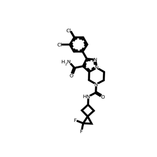 NC(=O)c1c(-c2ccc(Cl)c(Cl)c2)nn2c1CN(C(=O)NC1CC3(C1)CC3(F)F)CC2